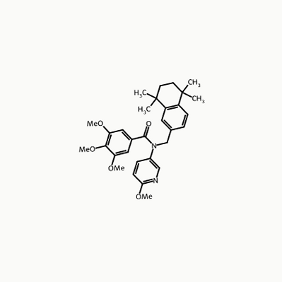 COc1ccc(N(Cc2ccc3c(c2)C(C)(C)CCC3(C)C)C(=O)c2cc(OC)c(OC)c(OC)c2)cn1